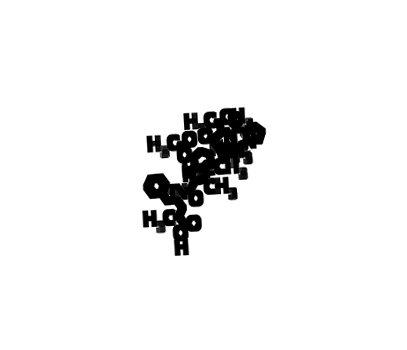 CC(=O)OC(CC(C(C)C)N(C)C(=O)C(NC(=O)[C@H]1CCCN1C)C(C)C)c1nc(C(=O)NC(Cc2ccccc2)CC(C)C(=O)O)c(C)s1